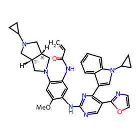 C=CC(=O)Nc1cc(Nc2ncc(-c3ncco3)c(-c3cn(C4CC4)c4ccccc34)n2)c(OC)cc1N1C[C@@H]2CN(C3CC3)C[C@@H]2C1